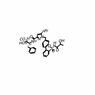 CCCc1cc(C(=O)N[C@H](Cc2ccccc2)[C@@H](O)C(=O)O)nn1Cc1ccc(-c2ccccc2S(=O)(=O)NC(=O)C(C)O)cc1